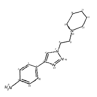 Nc1ccc(-c2cn(CCN3CCCCC3)nn2)cc1